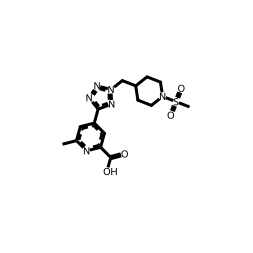 Cc1cc(-c2nnn(CC3CCN(S(C)(=O)=O)CC3)n2)cc(C(=O)O)n1